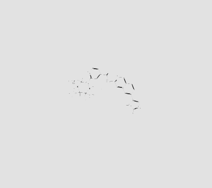 BC1(B)N(c2cc(C(=O)Nc3cc4cc(-c5cnc(C)n5C)ccc4cn3)ccn2)C(B)(B)C(B)(B)C(B)(B)C1(B)B